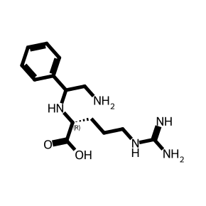 N=C(N)NCCC[C@@H](NC(CN)c1ccccc1)C(=O)O